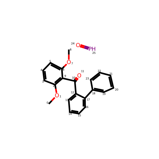 COc1cccc(OC)c1C(=O)c1ccccc1-c1ccccc1.O=P